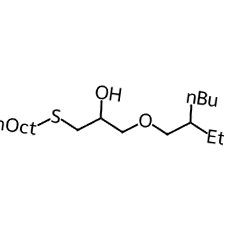 CCCCCCCCSCC(O)COCC(CC)CCCC